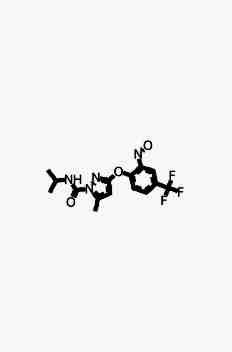 Cc1cc(Oc2ccc(C(F)(F)F)cc2N=O)nn1C(=O)NC(C)C